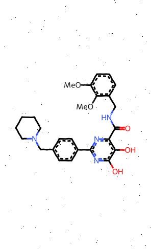 COc1cccc(CNC(=O)c2nc(-c3ccc(CN4CCCCC4)cc3)nc(O)c2O)c1OC